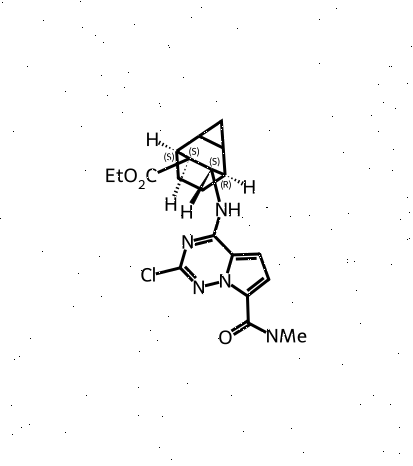 CCOC(=O)[C@@H]1[C@@H](Nc2nc(Cl)nn3c(C(=O)NC)ccc23)[C@@H]2CC[C@H]1C1CC12